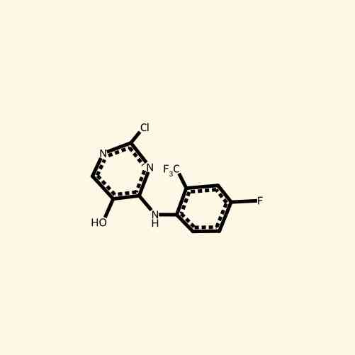 Oc1cnc(Cl)nc1Nc1ccc(F)cc1C(F)(F)F